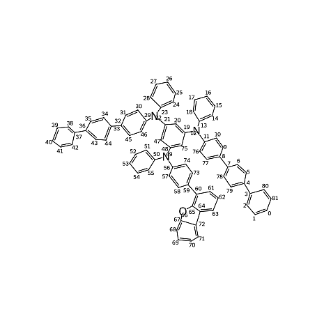 c1ccc(-c2ccc(-c3ccc(N(c4ccccc4)c4cc(N(c5ccccc5)c5ccc(-c6ccc(-c7ccccc7)cc6)cc5)cc(N(c5ccccc5)c5ccc(-c6cccc7c6oc6ccccc67)cc5)c4)cc3)cc2)cc1